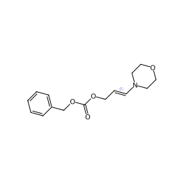 O=C(OC/C=C/N1CCOCC1)OCc1ccccc1